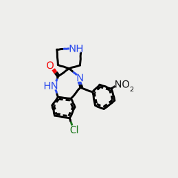 O=C1Nc2ccc(Cl)cc2C(c2cccc([N+](=O)[O-])c2)=NC12CCNCC2